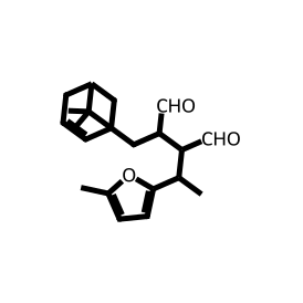 Cc1ccc(C(C)C(C=O)C(C=O)CC23C=CCC(C2)C3(C)C)o1